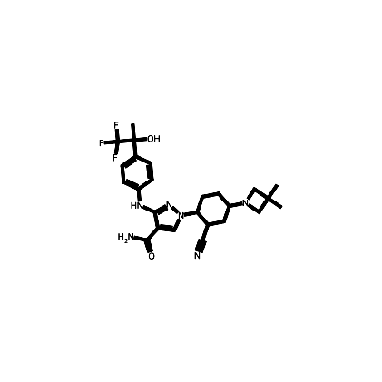 CC1(C)CN(C2CCC(n3cc(C(N)=O)c(Nc4ccc(C(C)(O)C(F)(F)F)cc4)n3)C(C#N)C2)C1